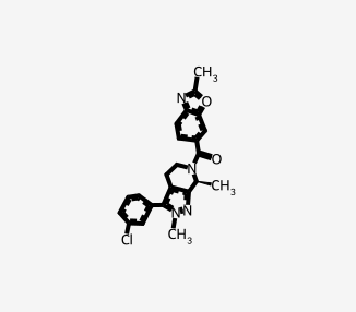 Cc1nc2ccc(C(=O)N3CCc4c(nn(C)c4-c4cccc(Cl)c4)[C@@H]3C)cc2o1